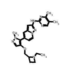 CCN1CCC1COc1cnn(C)c1-c1ccn2nc(Nc3ncc(C)c(C)n3)cc2c1